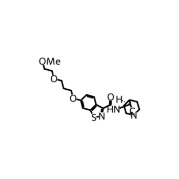 COCCOCCCOc1ccc2c(C(=O)N[C@@H]3CN4CCC3CC4)nsc2c1